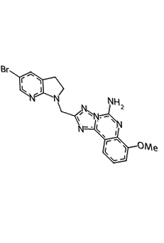 COc1cccc2c1nc(N)n1nc(CN3CCc4cc(Br)cnc43)nc21